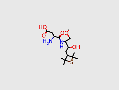 COCC(NC(=O)[C@@H](N)CC(=O)O)C(O)CC1C(C)(C)SC1(C)C